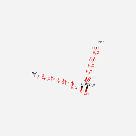 O.O.O.O.O.O.O.O.O.O.O.O.O.O.O.O.O.O=C(O)O.O=C([O-])[O-].[Na+].[Na+]